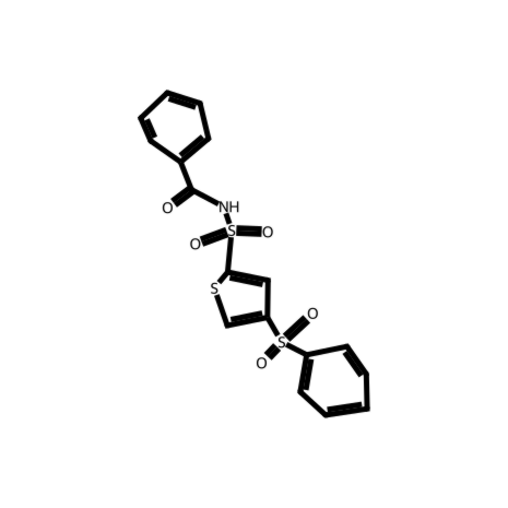 O=C(NS(=O)(=O)c1cc(S(=O)(=O)c2ccccc2)cs1)c1ccccc1